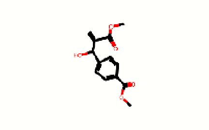 C=C(C(=O)OC)C(O)c1ccc(C(=O)OC)cc1